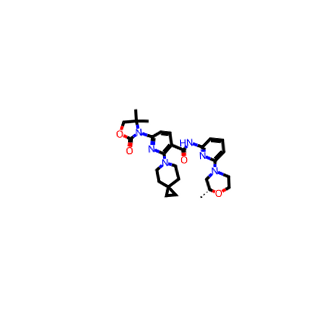 C[C@@H]1CN(c2cccc(NC(=O)c3ccc(N4C(=O)OCC4(C)C)nc3N3CCC4(CC3)CC4)n2)CCO1